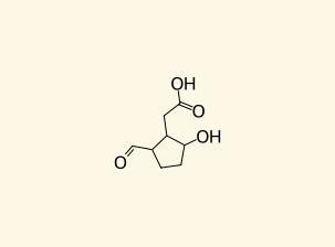 O=CC1CCC(O)C1CC(=O)O